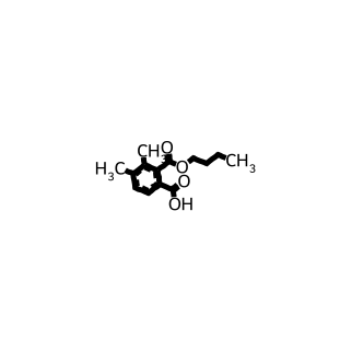 CCCCOC(=O)c1c(C(=O)O)ccc(C)c1C